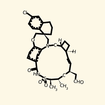 C[C@@H]1[C@@H](C)C[C@H](CC=O)/C=C/[C@@H]2CC[C@H]2CN2C[C@@]3(CCCc4cc(Cl)ccc43)COc3ccc(cc32)C(=O)NS1(=O)=O